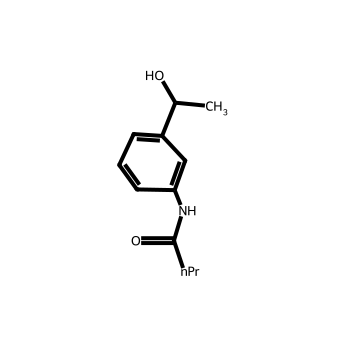 CCCC(=O)Nc1cccc(C(C)O)c1